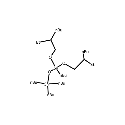 CCCCC(CC)C[O][Sn]([CH2]CCC)([O]CC(CC)CCCC)[O][Sn]([CH2]CCC)([CH2]CCC)[CH2]CCC